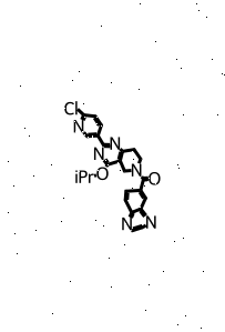 CC(C)Oc1nc(-c2ccc(Cl)nc2)nc2c1CN(C(=O)c1ccc3nccnc3c1)CC2